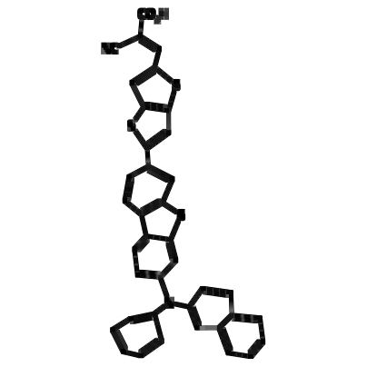 N#C/C(=C\c1cc2sc(-c3ccc4c(c3)sc3cc(N(c5ccccc5)c5ccc6ccccc6c5)ccc34)cc2s1)C(=O)O